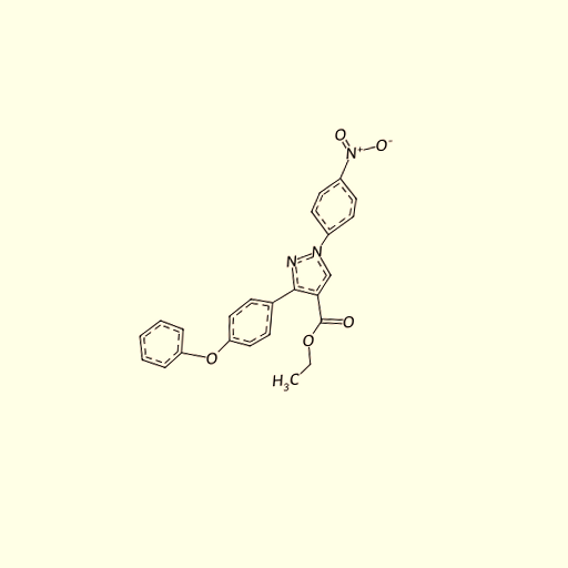 CCOC(=O)c1cn(-c2ccc([N+](=O)[O-])cc2)nc1-c1ccc(Oc2ccccc2)cc1